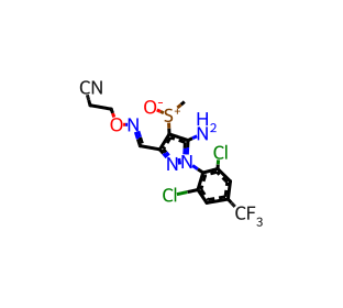 C[S+]([O-])c1c(/C=N/OCCC#N)nn(-c2c(Cl)cc(C(F)(F)F)cc2Cl)c1N